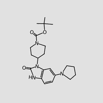 CC(C)(C)OC(=O)N1CCC(n2c(=O)[nH]c3ccc(N4CCCC4)cc32)CC1